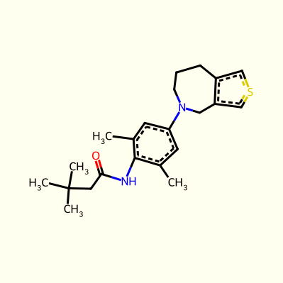 Cc1cc(N2CCCc3cscc3C2)cc(C)c1NC(=O)CC(C)(C)C